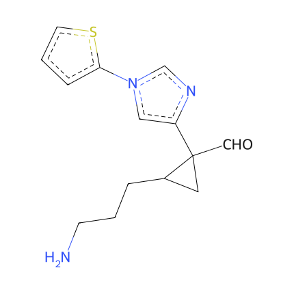 NCCCC1CC1(C=O)c1cn(-c2cccs2)cn1